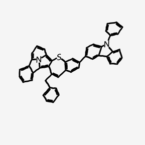 C1=C(Cc2ccccc2)c2c(c3cccc4c5ccccc5c2n34)Sc2cc(-c3ccc4c(c3)c3ccccc3n4-c3ccccc3)ccc21